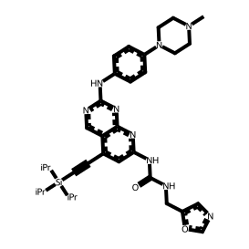 CC(C)[Si](C#Cc1cc(NC(=O)NCc2cnco2)nc2nc(Nc3ccc(N4CCN(C)CC4)cc3)ncc12)(C(C)C)C(C)C